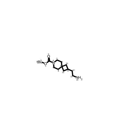 CC(C)(C)OC(=O)N1CCC2(CC1)CC(CCN)C2